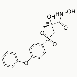 C[C@](O)(CS(=O)(=O)c1ccc(Oc2ccccc2)cc1)C(=O)NO